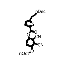 CCCCCCCCCCCCc1ccc(C(=O)Oc2ccc(OCCCCCCCC)c(C#N)c2C#N)s1